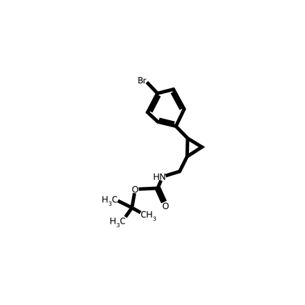 CC(C)(C)OC(=O)NCC1CC1c1ccc(Br)cc1